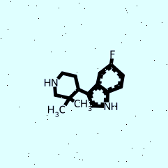 CC1(C)CNCCC1c1c[nH]c2ccc(F)cc12